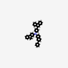 CC1(C)c2ccccc2-c2ccc(N(c3ccc(-c4cc5ccccc5c5ccccc45)cc3)c3ccc4ccc(-c5ccccc5)cc4c3)cc21